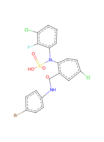 O=C(Nc1ccc(Br)cc1)c1cc(Cl)ccc1N(c1cccc(Cl)c1F)S(=O)(=O)O